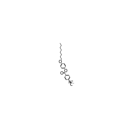 [C-]#[N+]c1ccc(C(=O)Oc2ccc(OCCCCCCCC)cc2)cc1